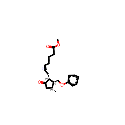 COC(=O)CCC/C=C\C[C@H]1C(=O)C[C@@H](C)[C@@H]1COc1ccccc1